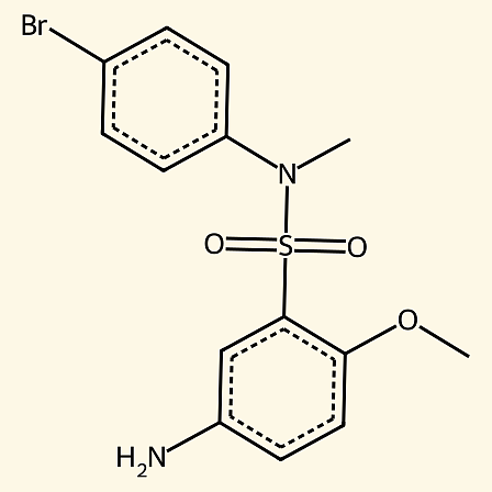 COc1ccc(N)cc1S(=O)(=O)N(C)c1ccc(Br)cc1